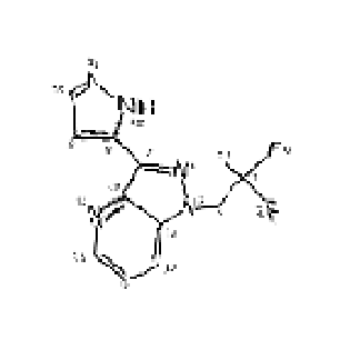 FC(F)(F)Cn1nc(-c2ccn[nH]2)c2ncccc21